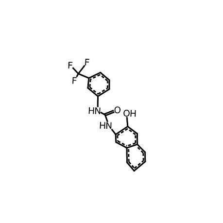 O=C(Nc1cccc(C(F)(F)F)c1)Nc1cc2ccccc2cc1O